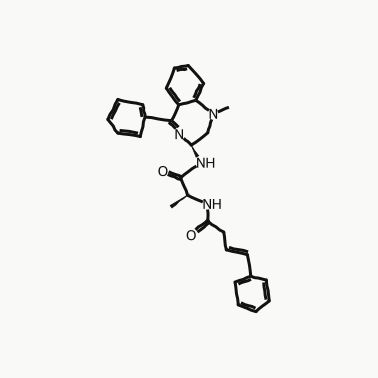 C[C@H](NC(=O)C/C=C/c1ccccc1)C(=O)N[C@@H]1CN(C)c2ccccc2C(c2ccccc2)=N1